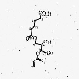 C=CC(=S)OC(C(O)COC(=O)CCCCC(=O)O)C(C)(C)C